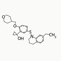 CCc1ccc2c(c1)N(Sc1ccc(OCC3CCOCC3)c(C3(O)CC3)c1)CCC2